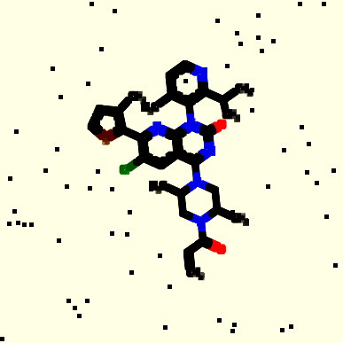 C=CC(=O)N1CC(C)N(c2nc(=O)n(-c3c(C)ccnc3C(C)C)c3nc(-c4sccc4C)c(Cl)cc23)CC1C